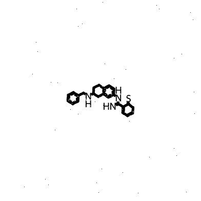 N=C(Nc1ccc2c(c1)CC(NCc1ccccc1)CC2)C1=CC=CCC1=S